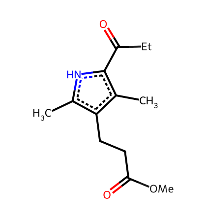 CCC(=O)c1[nH]c(C)c(CCC(=O)OC)c1C